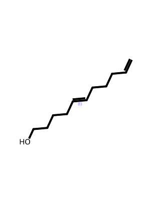 C=CCCC/C=C/CCCCO